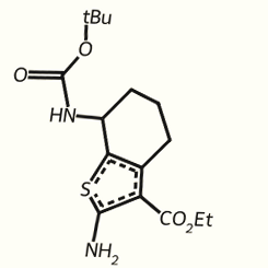 CCOC(=O)c1c(N)sc2c1CCCC2NC(=O)OC(C)(C)C